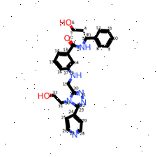 O=C(N[C@H](CCO)c1ccccc1)c1cccc(NCc2nnc(-c3ccncc3)n2CCO)c1